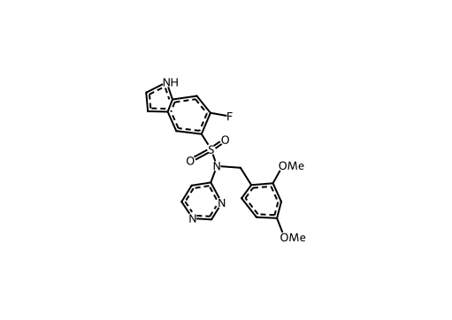 COc1ccc(CN(c2ccncn2)S(=O)(=O)c2cc3cc[nH]c3cc2F)c(OC)c1